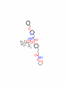 CC(C)(C)OC(=O)N[C@H](Cc1ccc(OCc2ccccc2)cn1)C(=O)Oc1ccc(CCCC(=O)NOC2CCCCO2)cc1